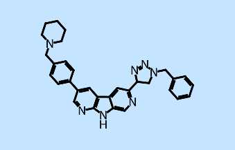 c1ccc(CN2CC(c3cc4c(cn3)[nH]c3ncc(-c5ccc(CN6CCCCC6)cc5)cc34)N=N2)cc1